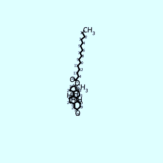 CCCCCCCCCCCCCCCC(=O)O[C@H]1CC[C@H]2[C@@H]3CCC4=CC(=O)CC[C@@H]4[C@H]3CC[C@]12C